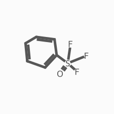 O=S(F)(F)(F)c1ccccc1